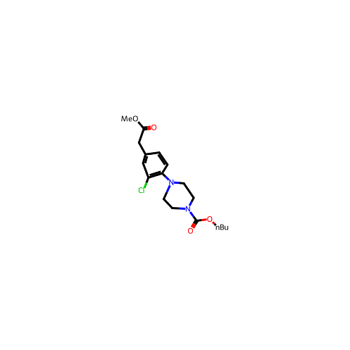 CCCCOC(=O)N1CCN(c2ccc(CC(=O)OC)cc2Cl)CC1